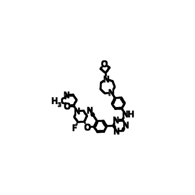 C/N=C\CC(=O)N1CC[C@H](Oc2ccc(-c3ncnc(Nc4ccc(N5CCCN(C6COC6)CC5)cc4)n3)cc2C#N)[C@H](F)C1